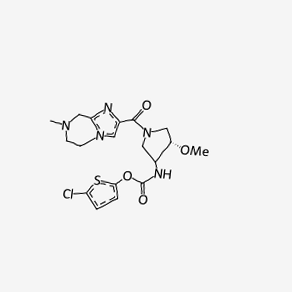 CO[C@H]1CN(C(=O)c2cn3c(n2)CN(C)CC3)CC1NC(=O)Oc1ccc(Cl)s1